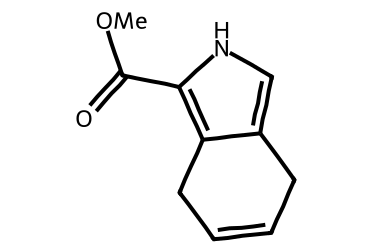 COC(=O)c1[nH]cc2c1CC=CC2